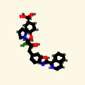 O=C(Cc1ccc2nc(-c3nccc4ccccc34)oc2c1)C(F)(O[C@H]1CC[C@H](C(=O)O)CC1)N1CCCC1